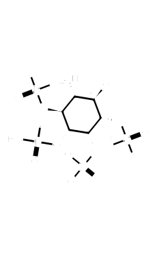 O=P(O)(O)O[C@@H]1[C@H](OP(=O)(O)O)[C@@H](OP(=O)(O)O)[C@H](O)[C@@H](O)[C@@H]1OP(=O)(O)O